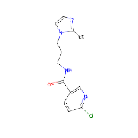 CCc1nccn1CCCNC(=O)c1ccc(Cl)nc1